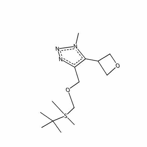 Cn1nnc(COCS(C)(C)C(C)(C)C)c1C1COC1